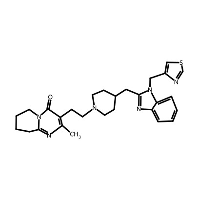 Cc1nc2n(c(=O)c1CCN1CCC(Cc3nc4ccccc4n3Cc3cscn3)CC1)CCCC2